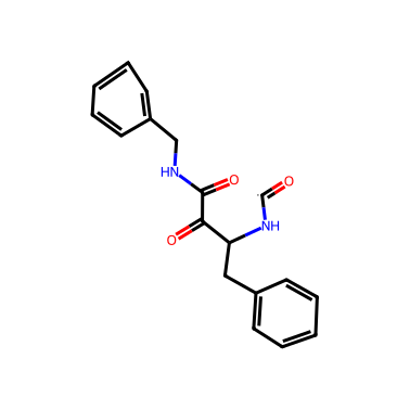 O=[C]NC(Cc1ccccc1)C(=O)C(=O)NCc1ccccc1